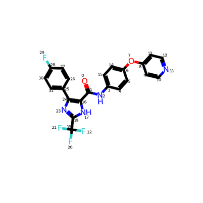 O=C(Nc1ccc(Oc2ccncc2)cc1)c1[nH]c(C(F)(F)F)nc1-c1ccc(F)cc1